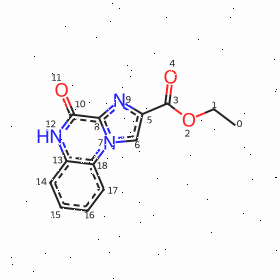 CCOC(=O)c1cn2c(n1)c(=O)[nH]c1ccccc12